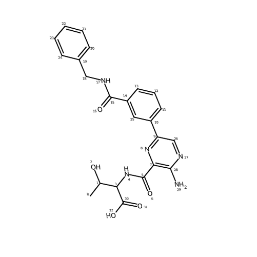 CC(O)C(NC(=O)c1nc(-c2cccc(C(=O)NCc3ccccc3)c2)cnc1N)C(=O)O